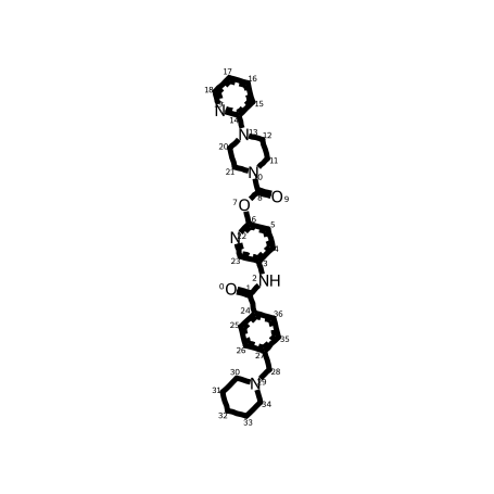 O=C(Nc1ccc(OC(=O)N2CCN(c3ccccn3)CC2)nc1)c1ccc(CN2CCCCC2)cc1